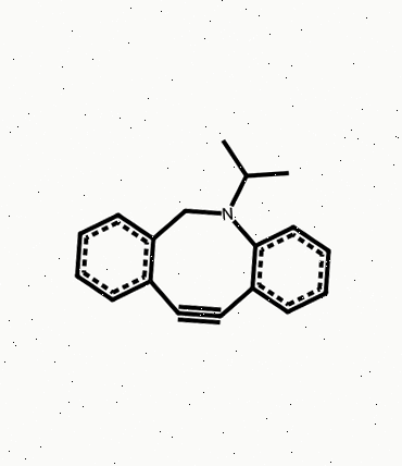 CC(C)N1Cc2ccccc2C#Cc2ccccc21